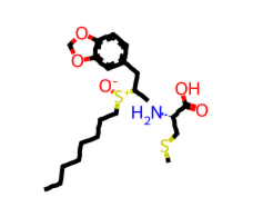 CCCCCCCC[S+]([O-])C(C)Cc1ccc2c(c1)OCO2.CSC[C@H](N)C(=O)O